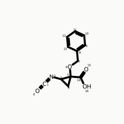 O=C=NC1CC1(OCc1ccccc1)C(=O)O